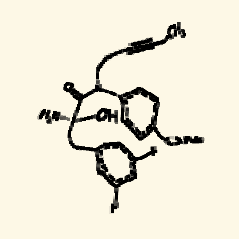 CC#CCN(C(=O)[C@@](N)(O)Cc1cc(F)cc(F)c1)c1ccc(OC)cc1